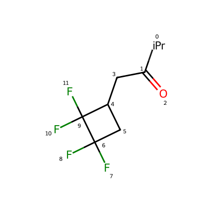 CC(C)C(=O)CC1CC(F)(F)C1(F)F